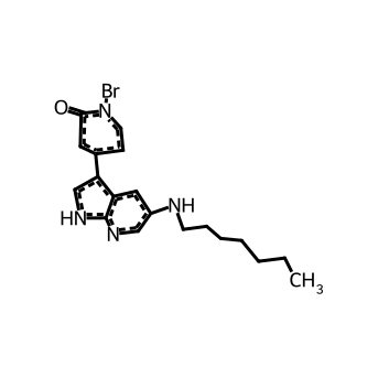 CCCCCCCNc1cnc2[nH]cc(-c3ccn(Br)c(=O)c3)c2c1